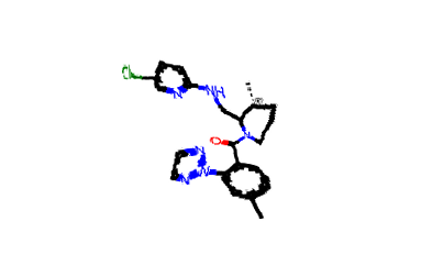 Cc1ccc(C(=O)N2CCC[C@@H](C)C2CNc2ccc(Cl)cn2)c(-n2nccn2)c1